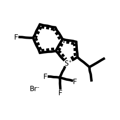 CC(C)c1cc2ccc(F)cc2[s+]1C(F)(F)F.[Br-]